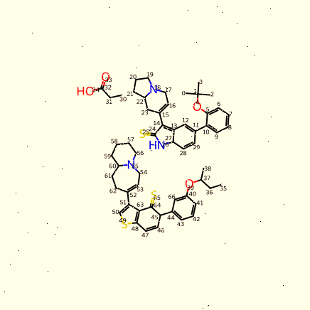 CC(C)(C)Oc1ccccc1C1=CC2=C(C3=CCN4CCCC4C3)C(=S)NC2C=C1.CCC(=O)O.CCC(C)Oc1cccc(C2C=Cc3scc(C4=CCN5CCCCC5CC4)c3C2=S)c1